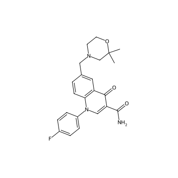 CC1(C)CN(Cc2ccc3c(c2)c(=O)c(C(N)=O)cn3-c2ccc(F)cc2)CCO1